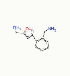 NCc1cc(-c2ccccc2CN)co1